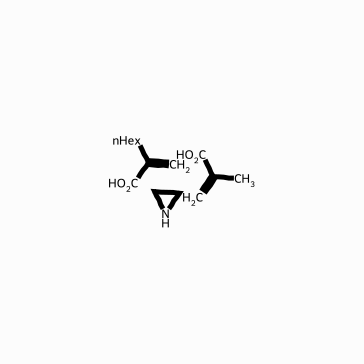 C1CN1.C=C(C)C(=O)O.C=C(CCCCCC)C(=O)O